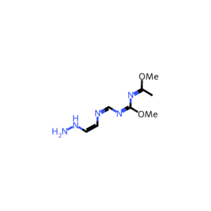 CO/C(C)=N/C(=N\C=N/C=C\NN)OC